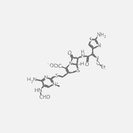 CCO/N=C(\C(=O)NC1C(=O)N2C(C(=O)[O-])=C(CSc3nc(N)c(NC=O)c[n+]3C)CS[C@H]12)c1csc(N)n1